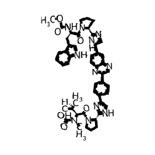 COC(=O)N[C@H](Cc1c[nH]c2ccccc12)C(=O)N1CCC[C@H]1c1ncc(-c2ccc3nc(-c4ccc(-c5c[nH]c([C@@H]6CCCN6C(=O)[C@H](C(C)C)N(C)C(=O)O)n5)cc4)cnc3c2)[nH]1